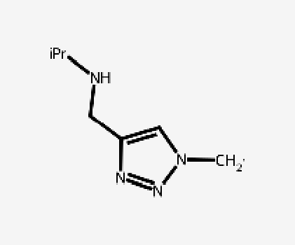 [CH2]n1cc(CNC(C)C)nn1